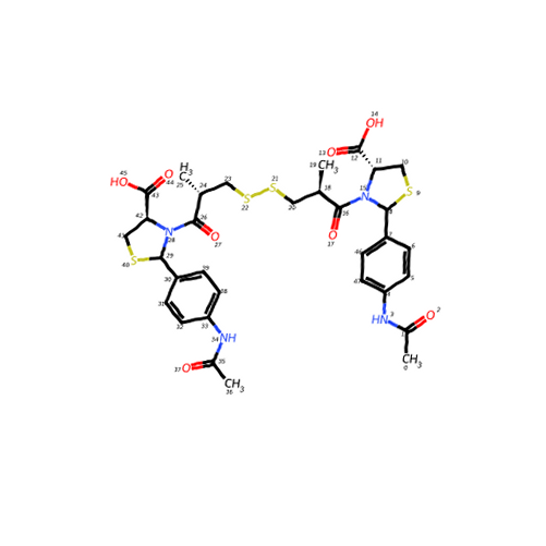 CC(=O)Nc1ccc(C2SC[C@@H](C(=O)O)N2C(=O)[C@H](C)CSSC[C@@H](C)C(=O)N2C(c3ccc(NC(C)=O)cc3)SC[C@H]2C(=O)O)cc1